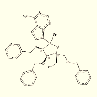 Nc1ncnn2c(C3(O)O[C@](CF)(COCc4ccccc4)[C@@H](OCc4ccccc4)[C@H]3OCc3ccccc3)ccc12